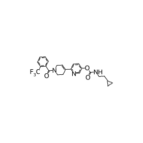 O=C(NCCC1CC1)Oc1ccc(C2=CCN(C(=O)c3ccccc3C(F)(F)F)CC2)nc1